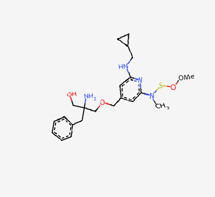 COOSN(C)c1cc(COCC(N)(CO)Cc2ccccc2)cc(NCC2CC2)n1